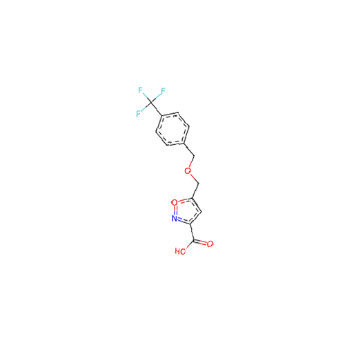 O=C(O)c1cc(COCc2ccc(C(F)(F)F)cc2)on1